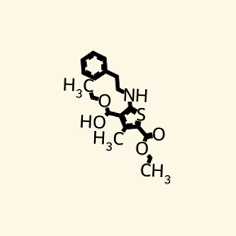 CCOC(=O)c1sc(NCCc2ccccc2)c(C(O)OCC)c1C